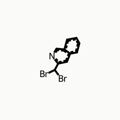 BrC(Br)c1cc2ccccc2cn1